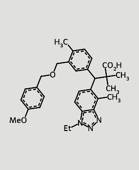 CCn1nnc2c(C)c(C(c3ccc(C)c(COCc4ccc(OC)cc4)c3)C(C)(C)C(=O)O)ccc21